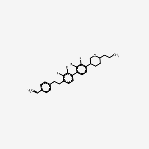 C=Cc1ccc(CCc2ccc(-c3ccc(C4CCC(CCC)OC4)c(F)c3F)c(F)c2F)cc1